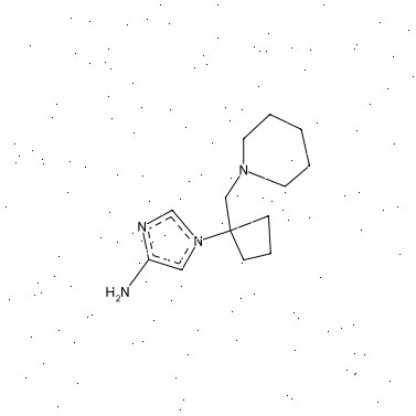 Nc1cn(C2(CN3CCCCC3)CCC2)cn1